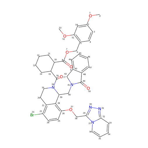 COc1ccc(COC(=O)C2CCCCC2C(=O)N2CCc3c(Br)ccc(OCc4nnc5ccccn45)c3C2CN2Cc3ccccc3C2=O)c(OC)c1